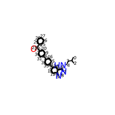 CC(C)CCNc1ncnc2ccc(-c3ccc(-c4ccc(C(=O)c5ccccc5)cc4)cc3)cc12